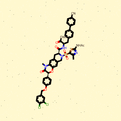 COC(=O)C(Cc1ccc(-c2ccc(C#N)cc2)cc1)NC(=O)[C@@H]1Cc2cc3c(cc2CN1S(=O)(=O)c1sc(NC(C)=O)nc1C)O[C@@H](c1ccc(OCc2ccc(Cl)c(Cl)c2)cc1)C(=O)N3C